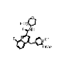 COc1cc(Cc2cc(C(=O)N[C@H]3CCOC[C@@H]3O)nc3c(F)cccc23)cc[n+]1[O-]